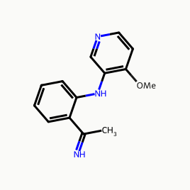 COc1ccncc1Nc1ccccc1C(C)=N